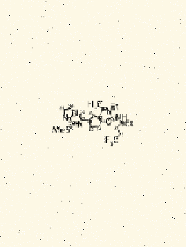 CC[C@H](CCC(F)(F)F)NC(=O)N(CC)[C@H](C)c1cccc(-c2cn3ccnc3c(SC)n2)c1